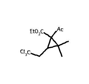 CCOC(=O)C1(C(C)=O)C(CC(Cl)(Cl)Cl)C1(C)C